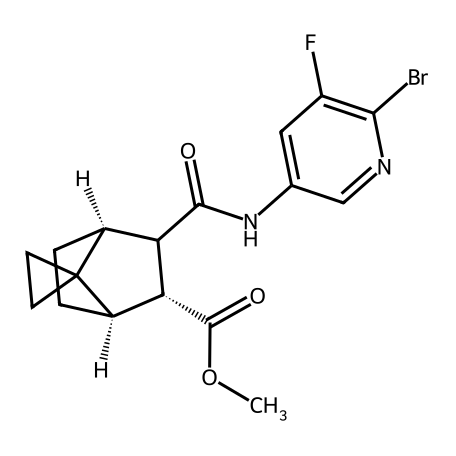 COC(=O)[C@H]1C(C(=O)Nc2cnc(Br)c(F)c2)[C@@H]2CC[C@H]1C21CC1